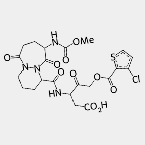 COC(=O)NC1CCC(=O)N2CCCC(C(=O)NC(CC(=O)O)C(=O)COC(=O)c3sccc3Cl)N2C1=O